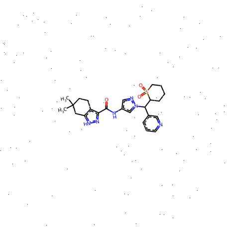 CC1(C)CCc2c(C(=O)Nc3cnn(C(c4cccnc4)C4CCCCS4(=O)=O)c3)n[nH]c2C1